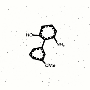 COc1cccc(-c2c(N)cccc2O)c1